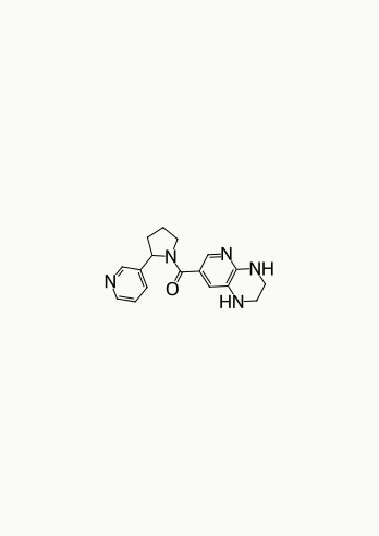 O=C(c1cnc2c(c1)NCCN2)N1CCCC1c1cccnc1